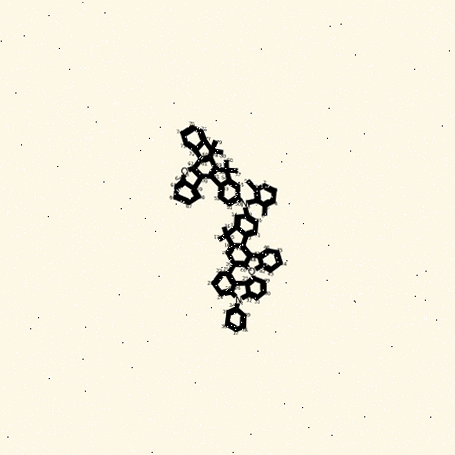 Cc1cccc(C)c1N(c1ccc2c(c1)C(C)(C)c1cc(-c3cccc4c3c3ccccc3n4-c3ccccc3)c3oc4ccccc4c3c1-2)c1ccc2c(c1)C(C)(C)c1c3c(c4oc5ccccc5c4c1-2)-c1ccccc1C3(C)C